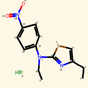 Br.CCc1csc(N(CC)c2ccc([N+](=O)[O-])cc2)n1